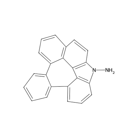 Nn1c2cccc3c2c2c4c(cccc4ccc21)-c1ccccc1-3